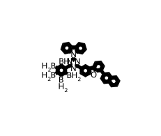 Bc1c(B)c(B)c(-c2nc(-c3ccc4oc5c(-c6ccc7ccccc7c6)cccc5c4c3)nc(-n3c4ccccc4c4ccccc43)n2)c(B)c1B